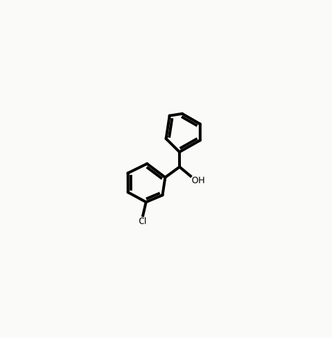 OC(c1ccccc1)c1cccc(Cl)c1